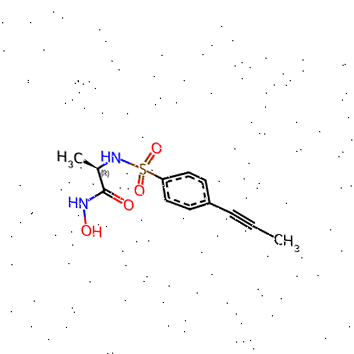 CC#Cc1ccc(S(=O)(=O)N[C@H](C)C(=O)NO)cc1